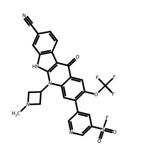 CN1CC(n2c3cc(-c4cncc(S(=O)(=O)F)c4)c(OC(F)(F)F)cc3c(=O)c3c4ccc(C#N)cc4[nH]c32)C1